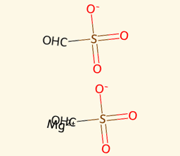 O=CS(=O)(=O)[O-].O=CS(=O)(=O)[O-].[Mg+2]